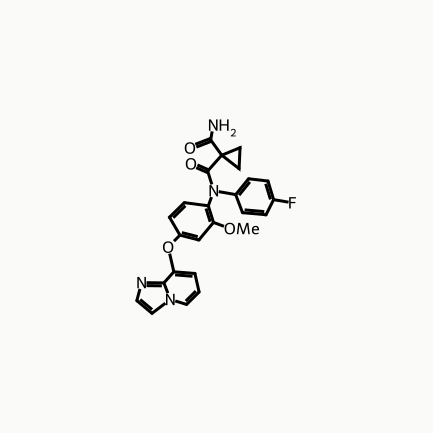 COc1cc(Oc2cccn3ccnc23)ccc1N(C(=O)C1(C(N)=O)CC1)c1ccc(F)cc1